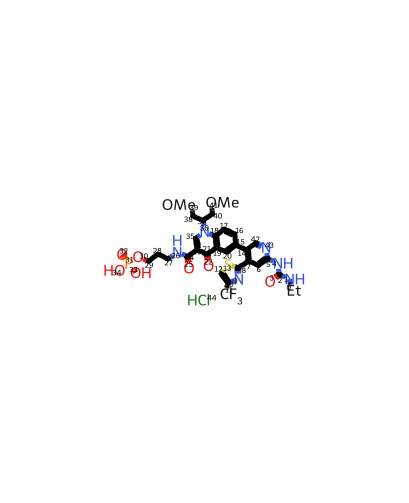 CCNC(=O)Nc1cc(-c2nc(C(F)(F)F)cs2)c(-c2ccc3c(c2)c(=O)c(C(=O)NCCCOP(=O)(O)O)cn3C(COC)COC)cn1.Cl